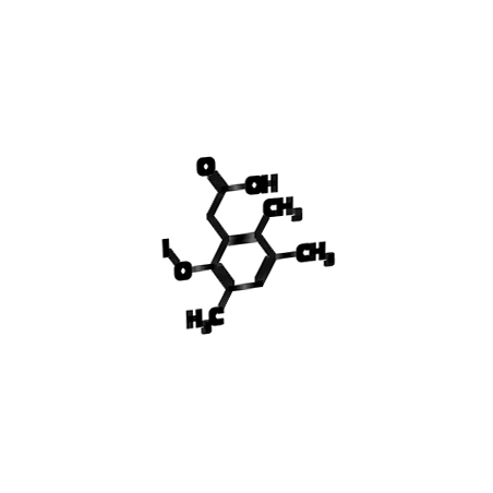 Cc1cc(C)c(OI)c(CC(=O)O)c1C